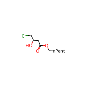 CCCCCCOC(=O)C[C@@H](O)CCl